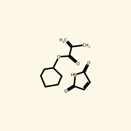 C=C(C)C(=O)OC1CCCCC1.O=C1C=CC(=O)N1